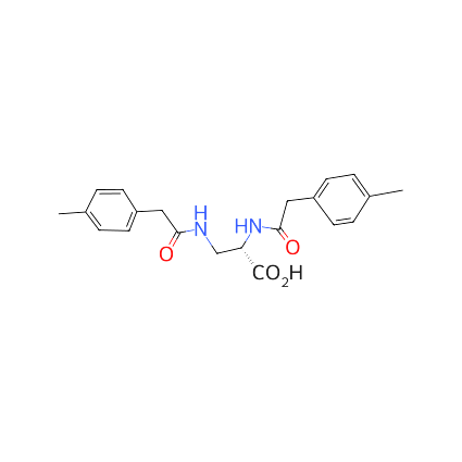 Cc1ccc(CC(=O)NC[C@H](NC(=O)Cc2ccc(C)cc2)C(=O)O)cc1